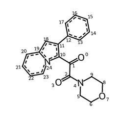 O=C(C(=O)N1CCOCC1)c1c(-c2ccccc2)cc2ccccn12